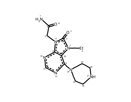 CCn1c(=O)n(CC(N)=O)c2ncnc(N3CCNCC3)c21